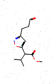 COC(=O)C(c1cc(CCC=O)no1)C(C)C